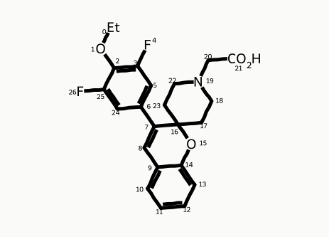 CCOc1c(F)cc(C2=Cc3ccccc3OC23CCN(CC(=O)O)CC3)cc1F